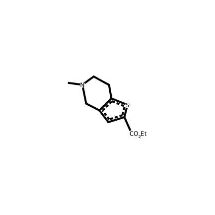 CCOC(=O)c1cc2c(s1)CCN(C)C2